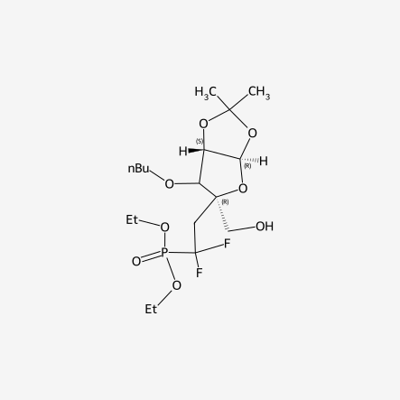 CCCCOC1[C@@H]2OC(C)(C)O[C@H]2O[C@@]1(CO)CC(F)(F)P(=O)(OCC)OCC